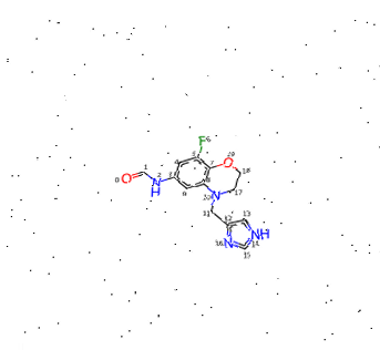 O=CNc1cc(F)c2c(c1)N(Cc1c[nH]cn1)CCO2